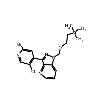 C[Si](C)(C)CCOCn1nc(-c2cc(Br)ncc2Cl)c2ncccc21